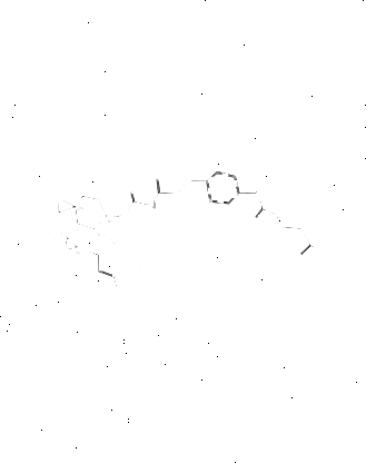 CO[C@H]1[C@H](C2(C)O[C@@H]2CC=C(C)C)[C@]2(CC[C@H]1OC(=O)NC(=O)CSc1ccc(NC(=O)COCC(=O)C(C)(C)C)cc1)CO2